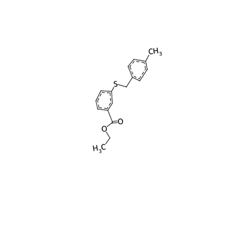 CCOC(=O)c1cccc(SCc2ccc(C)cc2)c1